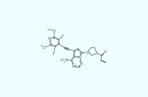 C=CC(=O)N1CC[C@H](c2cc(C#Cc3c(F)c(OC)nc(OC)c3F)c3c(N)ncnn23)C1